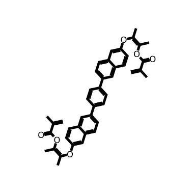 C=C(C)C(=O)OC(C)=C(C)Oc1ccc2cc(-c3ccc(-c4ccc5cc(OC(C)=C(C)OC(=O)C(=C)C)ccc5c4)cc3)ccc2c1